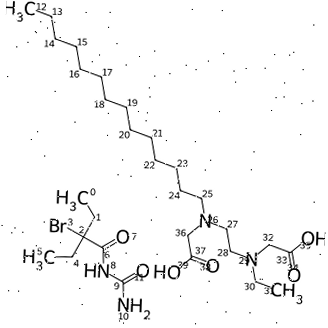 CCC(Br)(CC)C(=O)NC(N)=O.CCCCCCCCCCCCCCN(CCN(CC)CC(=O)O)CC(=O)O